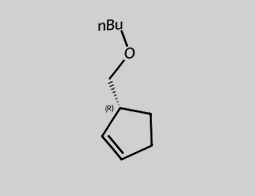 CCCCOC[C@H]1C=CCC1